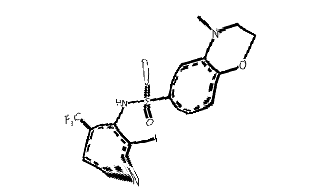 CN1CCOc2ccc(S(=O)(=O)Nc3c(C(F)(F)F)ccnc3I)cc21